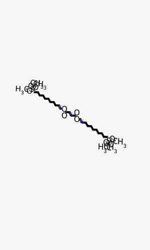 CO[Si](CCCCCCCCC/C=C/OC(=O)/C=C/C(=O)O/C=C/CCCCCCCCC[Si](OC)(OC)OC)(OC)OC